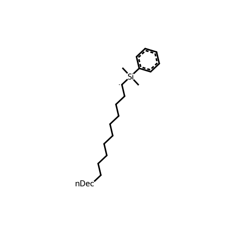 CCCCCCCCCCCCCCCCCCC[CH][Si](C)(C)c1ccccc1